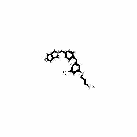 CCCCNc1cc(N)nc(Cc2ccc(CN3CC4CNCC4C3)cc2)c1